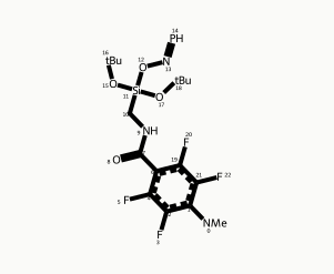 CNc1c(F)c(F)c(C(=O)NC[Si](ON=P)(OC(C)(C)C)OC(C)(C)C)c(F)c1F